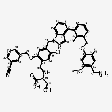 COc1cc(OCc2cccc(-c3cccc4c3cnn4Cc3cc(OCc4cncc(C#N)c4)c(CNC(CO)C(=O)O)cc3Cl)c2C)c(Cl)cc1CN